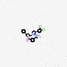 CC(N)c1cccc(C(=O)N2C[C@@H](c3ccccc3)C[C@H]2CN2CC[C@H](c3ccc(Cl)c(Cl)c3)C2)c1